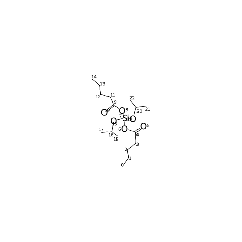 CCCCC(=O)O[Si](OC(=O)CCCC)(OC(C)C)OC(C)C